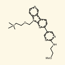 COCCNc1ncc(-c2ccc3c4cnccc4n(COCC[Si](C)(C)C)c3n2)cn1